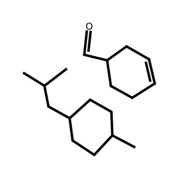 CC(C)CC1CCC(C)CC1.O=CC1CC=CCC1